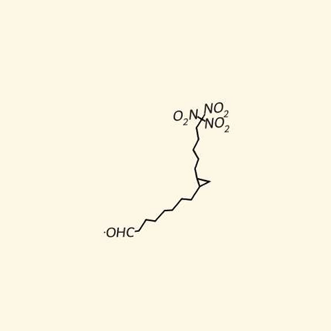 O=[C]CCCCCCCC1CC1CCCCCC([N+](=O)[O-])([N+](=O)[O-])[N+](=O)[O-]